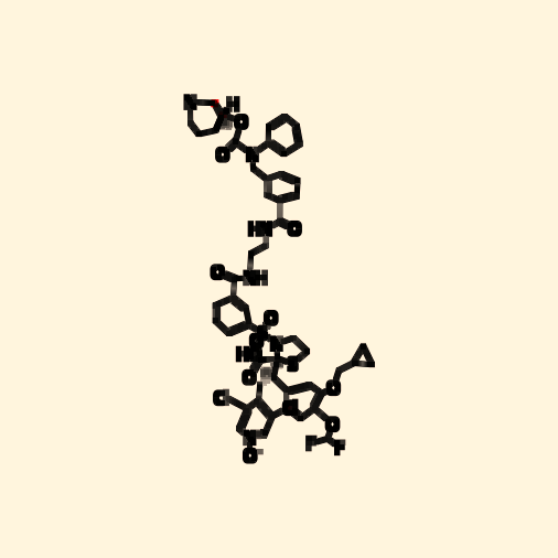 O=C(NCCNC(=O)c1cccc(S(=O)(=O)N2CCS[C@]2(C(=O)O)[C@@H](Cc2c(Cl)c[n+]([O-])cc2Cl)c2ccc(OC(F)F)c(OCC3CC3)c2)c1)c1cccc(CN(C(=O)O[C@H]2CN3CCC2CC3)c2ccccc2)c1